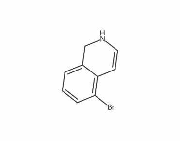 Brc1cccc2c1C=CNC2